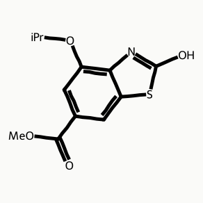 COC(=O)c1cc(OC(C)C)c2nc(O)sc2c1